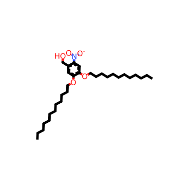 CCCCCCCCCCCCOc1cc(CO)c([N+](=O)[O-])cc1OCCCCCCCCCCCC